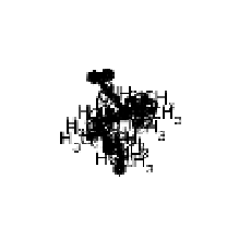 CC[C@H](C)[C@@H]([C@@H](CC(=O)N1CCCC1[C@H](OC)[C@@H](C)C(=O)N[C@H](C)[C@@H](O)c1ccccc1)OC)N(C)C(=O)C(NC(=O)C(C(C)C)[N+](C)(C)Cc1ccc(O[C@@H]2O[C@H](C(=O)OC)[C@@H](OC(C)=O)[C@H](OC(C)=O)[C@H]2OC(C)=O)c(NC(=O)CCNC(=O)OCC2c3ccccc3-c3ccccc32)c1)C(C)C